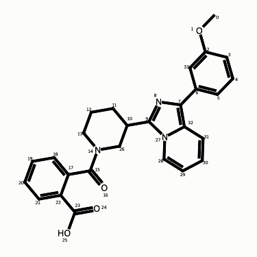 COc1cccc(-c2nc(C3CCCN(C(=O)c4ccccc4C(=O)O)C3)n3ccccc23)c1